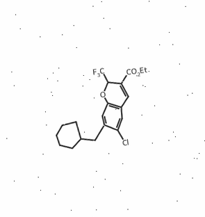 CCOC(=O)C1=Cc2cc(Cl)c(CC3CCCCC3)cc2OC1C(F)(F)F